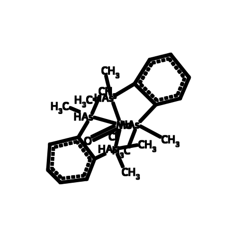 C[AsH]1(C)c2ccccc2[AsH](C)(C)[Mo]12(=[O])([Cl])[AsH](C)(C)c1ccccc1[AsH]2(C)C